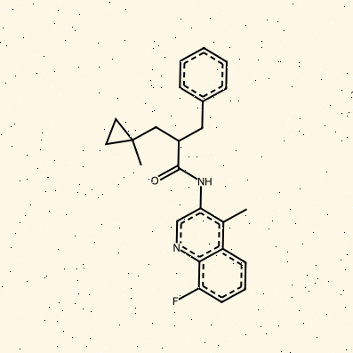 Cc1c(NC(=O)C(Cc2ccccc2)CC2(C)CC2)cnc2c(F)cccc12